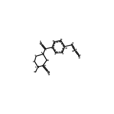 CN1CCN(C(=O)c2ccc(N=[N+]=[N-])cc2)CC1=O